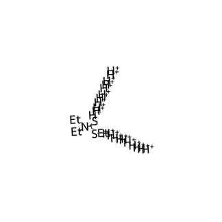 CCSC(=S)N(CC)CC.[H+].[H+].[H+].[H+].[H+].[H+].[H+].[H+].[H+].[H+].[H+].[H+].[H+].[H+].[H+].[H+].[H+].[H+].[H+].[H+].[H+]